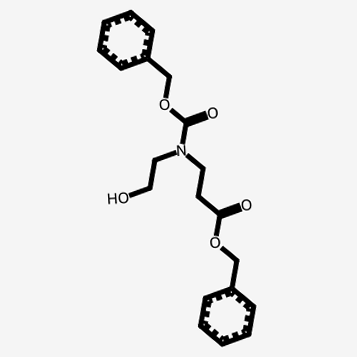 O=C(CCN(CCO)C(=O)OCc1ccccc1)OCc1ccccc1